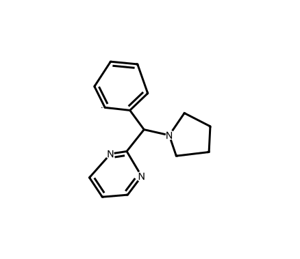 [c]1ccccc1C(c1ncccn1)N1CCCC1